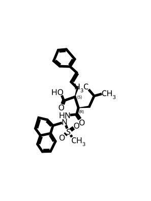 CC(C)C[C@@H](C(=O)NN(c1cccc2ccccc12)S(C)(=O)=O)[C@H](CC=Cc1ccccc1)C(=O)O